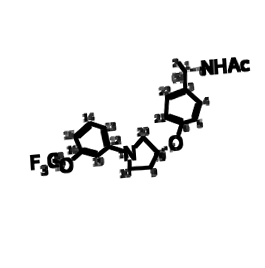 CC(=O)N[C@@H](C)c1ccc(O[C@@H]2CCN(c3cccc(OC(F)(F)F)c3)C2)cc1